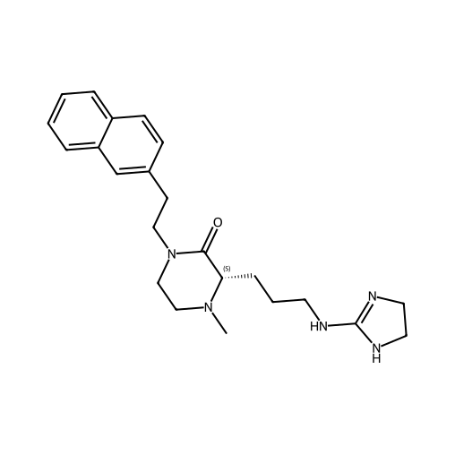 CN1CCN(CCc2ccc3ccccc3c2)C(=O)[C@@H]1CCCNC1=NCCN1